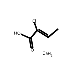 CC=C(Cl)C(=O)O.[GaH3]